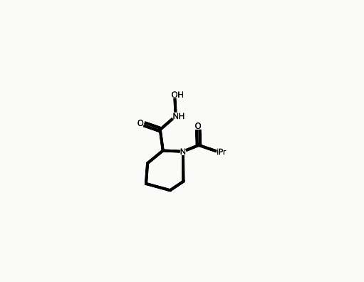 CC(C)C(=O)N1CCCCC1C(=O)NO